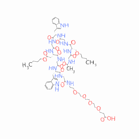 CCCCOC[C@H](NC(=O)CNC(C)=O)C(=O)NCC(=O)N[C@@H](Cc1c[nH]c2ccccc12)C(=O)NCC(=O)N[C@@H](CC(=O)OCCCC)C(=O)NCC(=O)N[C@@H](Cc1c[nH]c2ccccc12)C(=O)NCC(=O)NCCOCCOCCOCCOCCC(=O)O